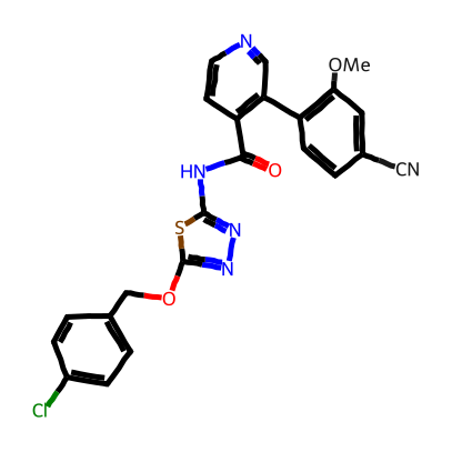 COc1cc(C#N)ccc1-c1cnccc1C(=O)Nc1nnc(OCc2ccc(Cl)cc2)s1